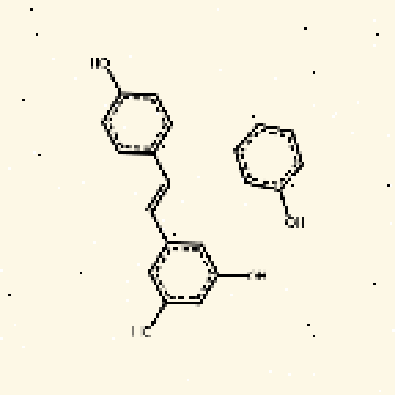 Oc1ccc(C=Cc2cc(O)cc(O)c2)cc1.Oc1ccccc1